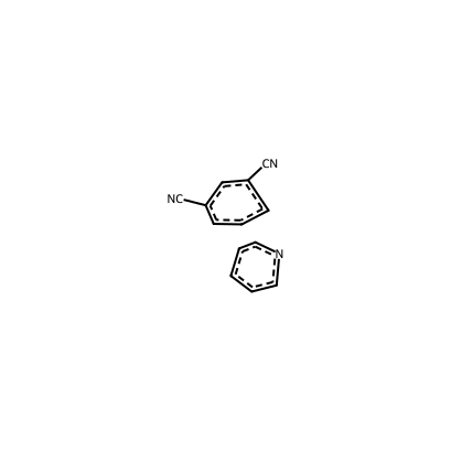 N#Cc1cccc(C#N)c1.c1ccncc1